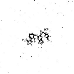 CC[C@@H](Nc1nc2nonc2nc1Nc1cccc(C(=O)N(C)C)c1O)c1ccc(C)o1